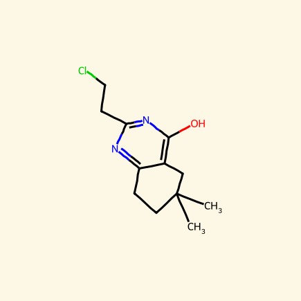 CC1(C)CCc2nc(CCCl)nc(O)c2C1